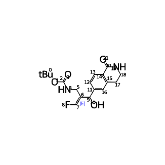 CC(C)(C)OC(=O)NC/C(=C\F)C(O)c1ccc2c(c1)CCNC2=O